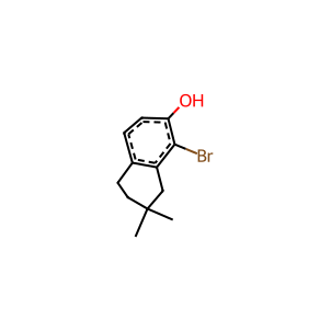 CC1(C)CCc2ccc(O)c(Br)c2C1